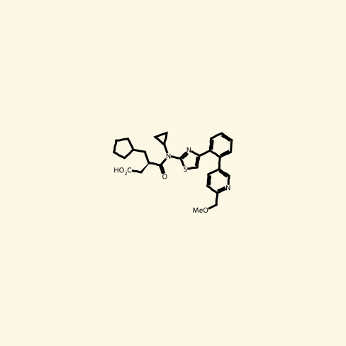 COCc1ccc(-c2ccccc2-c2csc(N(C(=O)[C@@H](CC(=O)O)CC3CCCC3)C3CC3)n2)cn1